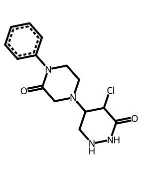 O=C1NNCC(N2CCN(c3ccccc3)C(=O)C2)C1Cl